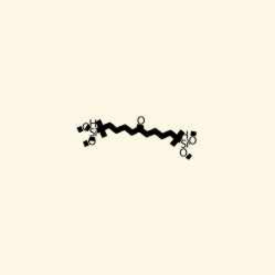 CO[SiH](OC)C(C)(C)CCCCC(=O)CCCCC(C)(C)[SiH](OC)OC